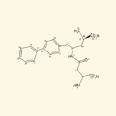 CCCCC(CC(=O)NC(Cc1ccc(-c2ccccc2)cc1)C[C@@H](C)C(=O)O)C(=O)O